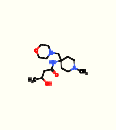 CC(O)CC(=O)NC1(CN2CCOCC2)CCN(C)CC1